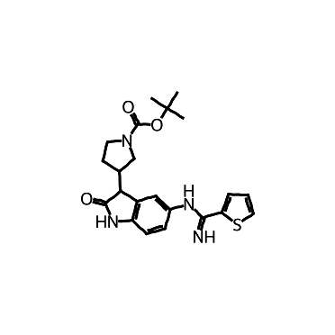 CC(C)(C)OC(=O)N1CCC(C2C(=O)Nc3ccc(NC(=N)c4cccs4)cc32)C1